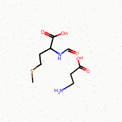 CSCCC(NC=O)C(=O)O.NCCC(=O)O